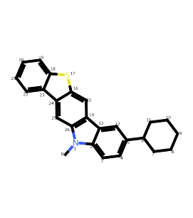 Cn1c2ccc(C3CCCCC3)cc2c2cc3sc4ccccc4c3cc21